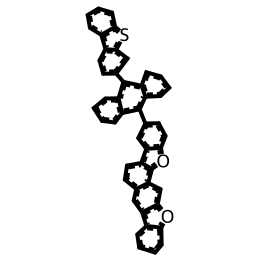 c1ccc2c(c1)oc1cc3c(ccc4c5cc(-c6c7ccccc7c(-c7ccc8c(c7)sc7ccccc78)c7ccccc67)ccc5oc34)cc12